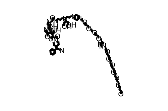 COc1cnc(-n2cnc(C(=O)NCCCN(CCCN3CCN(CCOCCOCCOCCOCc4cn(CCOCCOCCOCCOCCOCCOCCC=O)nn4)CC3)C(CO)CO)n2)c2[nH]cc(C(=O)C(=O)N3CCC(=C(C#N)c4ccccc4)CC3)c12